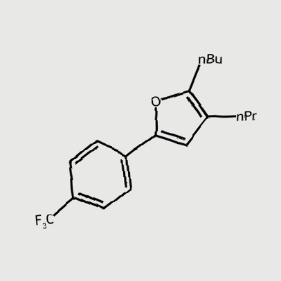 CCCCc1oc(-c2ccc(C(F)(F)F)cc2)cc1CCC